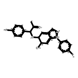 CC(=O)C(OC1C=c2cnn(-c3ccc(F)cc3)c2=CC1Cl)c1ccc(F)cc1